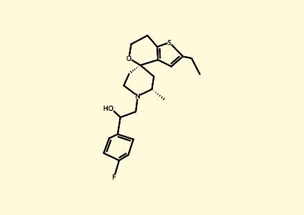 CCc1cc2c(s1)CCO[C@@]21CCN(CC(O)c2ccc(F)cc2)[C@@H](C)C1